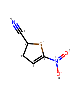 N#CC1CC=C([N+](=O)[O-])S1